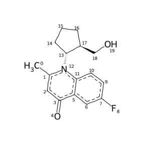 Cc1cc(=O)c2cc(F)ccc2n1[C@@H]1CCC[C@H]1CO